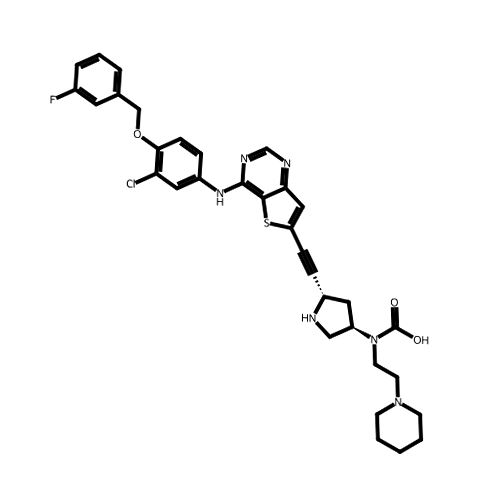 O=C(O)N(CCN1CCCCC1)[C@H]1CN[C@H](C#Cc2cc3ncnc(Nc4ccc(OCc5cccc(F)c5)c(Cl)c4)c3s2)C1